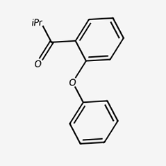 CC(C)C(=O)c1ccccc1Oc1ccccc1